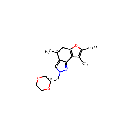 C[C@H]1Cc2oc(C(=O)O)c(C(F)(F)F)c2-c2nn(C[C@H]3COCCO3)cc21